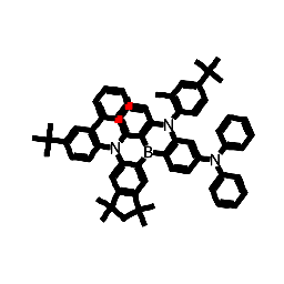 Cc1cc2c3c(c1)N(c1ccc(C(C)(C)C)cc1-c1ccccc1)c1cc4c(cc1B3c1ccc(N(c3ccccc3)c3ccccc3)cc1N2c1ccc(C(C)(C)C)cc1C)C(C)(C)CC4(C)C